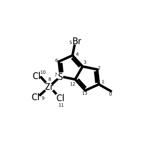 CC1=CC2=C(Br)C=[S]([Zr]([Cl])([Cl])[Cl])C2=C1